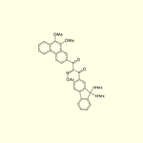 CCCCCCC1(CCCCCC)c2ccccc2-c2ccc(C(=O)C(=NOC(C)=O)C(=O)c3ccc4c(c3)c(OC)c(OC)c3ccccc34)cc21